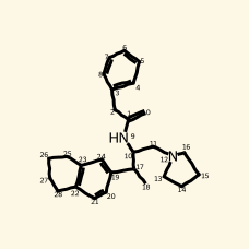 C=C(Cc1ccccc1)NC(CN1CCCC1)C(C)c1ccc2c(c1)CCCC2